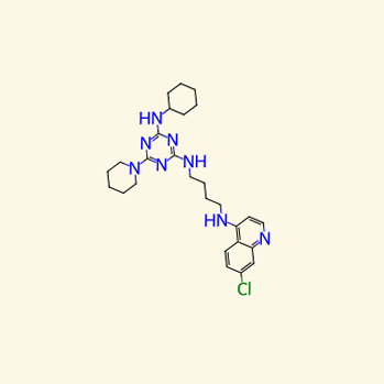 Clc1ccc2c(NCCCCNc3nc(NC4CCCCC4)nc(N4CCCCC4)n3)ccnc2c1